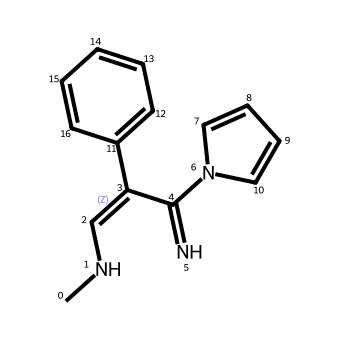 CN/C=C(\C(=N)n1cccc1)c1ccccc1